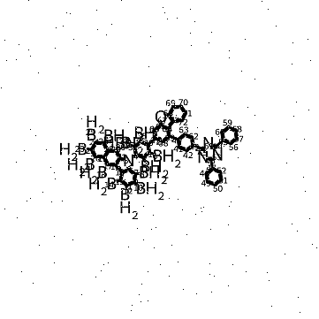 Bc1c(B)c(-n2c3c(B)c(B)c(B)c(B)c3c3c(B)c4c(B)c(B)c(B)c(B)c4c(B)c32)c(B)c(B)c1-c1cc(-c2ccc(-c3nc(-c4ccccc4)nc(-c4ccccc4)n3)cc2)c2c(c1)oc1ccccc12